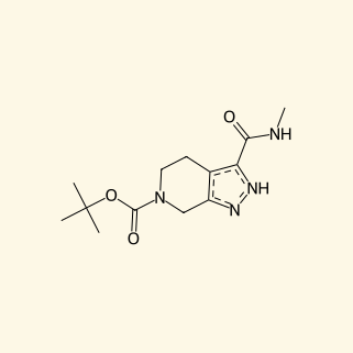 CNC(=O)c1[nH]nc2c1CCN(C(=O)OC(C)(C)C)C2